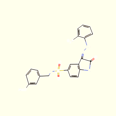 COc1cccc(CNS(=O)(=O)c2ccc3c(c2)/C(=N/Nc2ccccc2[N+](=O)[O-])C(=O)N3)c1